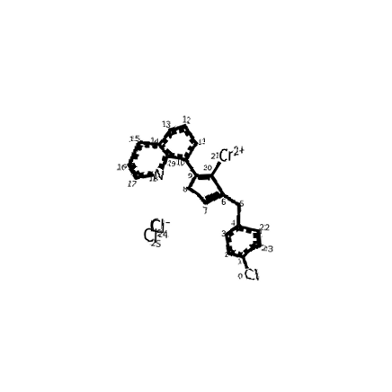 Clc1ccc(CC2=CCC(c3cccc4cccnc34)=[C]2[Cr+2])cc1.[Cl-].[Cl-]